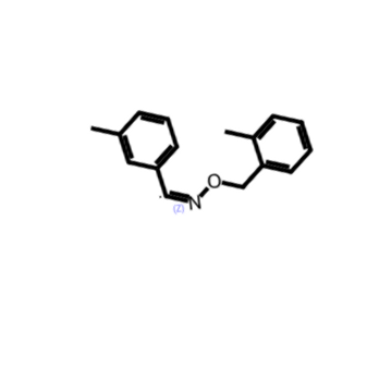 Cc1cccc(/[C]=N\OCc2ccccc2C)c1